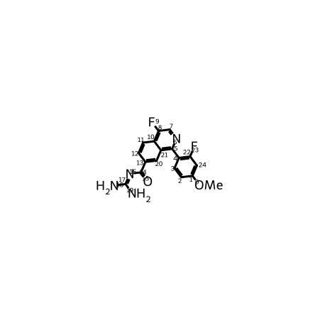 COc1ccc(-c2ncc(F)c3ccc(C(=O)N=C(N)N)cc23)c(F)c1